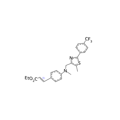 CCOC(=O)/C=C/c1ccc(N(C)Cc2nc(-c3ccc(C(F)(F)F)cc3)sc2C)cc1